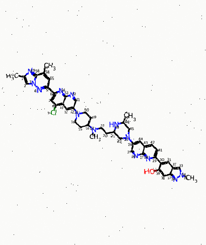 Cc1cn2nc(-c3cc(Cl)c4cc(N5CCC(N(C)CCC6CN(c7cnc8nc(-c9cc%10cn(C)nc%10cc9O)ccc8c7)CC(C)N6)CC5)cnc4n3)cc(C)c2n1